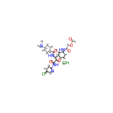 CC(=O)OCC(=O)Nc1ccc2oc(C(=O)Nc3ccc(Cl)cn3)c(NC(=O)C3CCC(N(C)C)CC3)c2c1.Cl